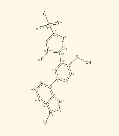 CCn1cnc2c(-c3ccc(CO)c(-c4ccc(S(=O)(=O)CC)cc4F)c3)cnnc21